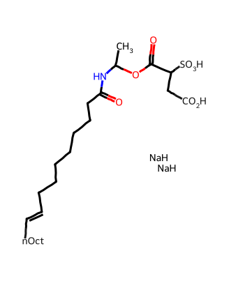 CCCCCCCCC=CCCCCCCCC(=O)NC(C)OC(=O)C(CC(=O)O)S(=O)(=O)O.[NaH].[NaH]